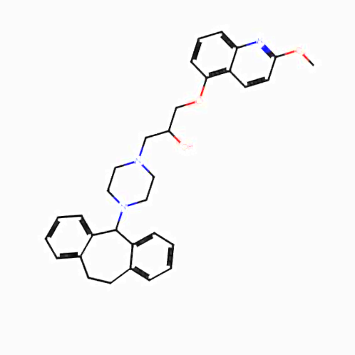 COc1ccc2c(OCC(O)CN3CCN(C4c5ccccc5CCc5ccccc54)CC3)cccc2n1